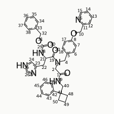 O=C(CN(Cc1ccc(OCc2ccccn2)cc1)C(=O)C(Cc1c[nH]cn1)NC(=O)OCc1ccccc1)NCC1(c2ccccc2)CCC1